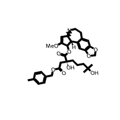 COC1=CC23CCCN2CCc2cc4c(cc2[C@@H]3C1OC(=O)[C@@](O)(CCCC(C)(C)O)CC(=O)OCc1ccc(C)cc1)OCO4